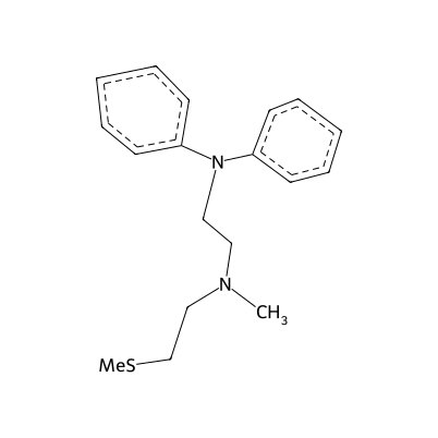 CSCCN(C)CCN(c1ccccc1)c1ccccc1